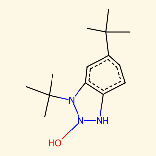 CC(C)(C)c1ccc2c(c1)N(C(C)(C)C)N(O)N2